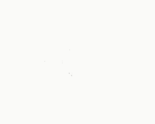 CCOc1oc(=O)n(C(C)C)c1C